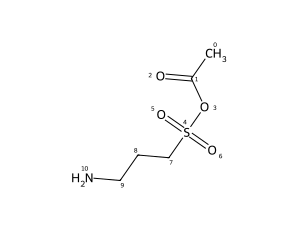 CC(=O)OS(=O)(=O)CCCN